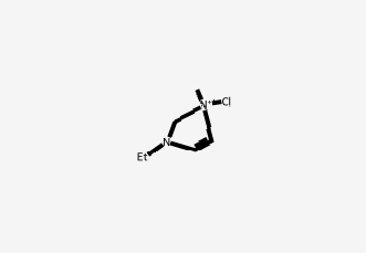 CCN1C=C[N+](C)(Cl)C1